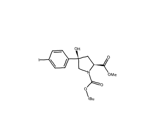 COC(=O)[C@@H]1C[C@@](O)(c2ccc(I)cc2)CN1C(=O)OC(C)(C)C